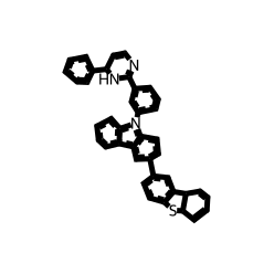 C1=CC2Sc3ccc(-c4ccc5c(c4)c4ccccc4n5-c4cccc(C5=NC=CC(c6ccccc6)N5)c4)cc3C2C=C1